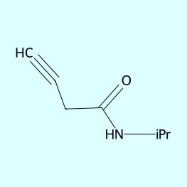 C#CCC(=O)NC(C)C